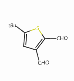 CC(C)(C)c1cc(C=O)c(C=O)s1